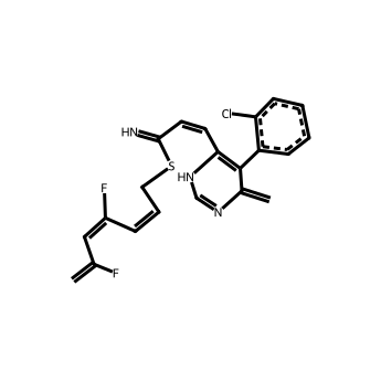 C=C(F)/C=C(F)\C=C/CSC(=N)/C=C\C1=C(c2ccccc2Cl)C(=C)N=CN1